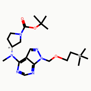 CN(c1ncnc2c1cnn2COCC[Si](C)(C)C)[C@@H]1CCN(C(=O)OC(C)(C)C)C1